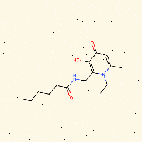 CCCCCC(=O)NCc1c(O)c(=O)cc(C)n1CC